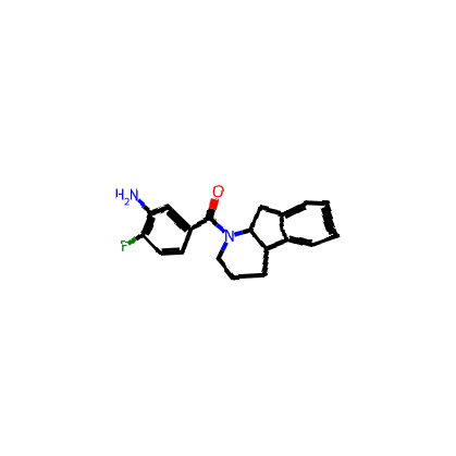 Nc1cc(C(=O)N2CCCC3c4ccccc4CC32)ccc1F